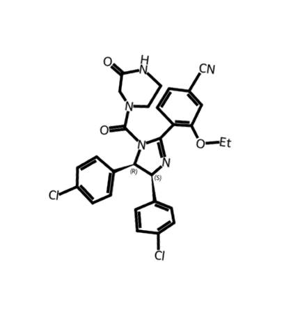 CCOc1cc(C#N)ccc1C1=N[C@@H](c2ccc(Cl)cc2)[C@@H](c2ccc(Cl)cc2)N1C(=O)N1CCNC(=O)C1